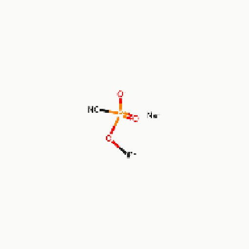 CC(C)OP(=O)([O-])C#N.[Na+]